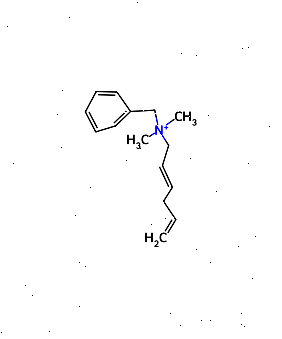 C=CCC=CC[N+](C)(C)Cc1ccccc1